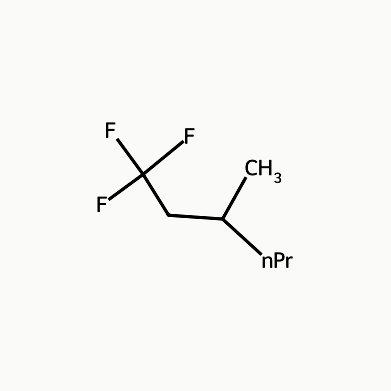 CCCC(C)CC(F)(F)F